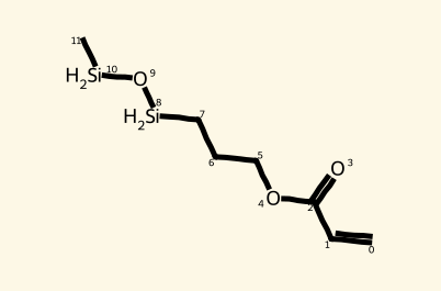 C=CC(=O)OCCC[SiH2]O[SiH2]C